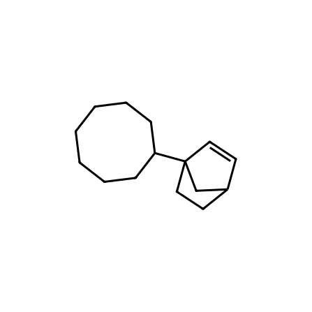 C1=CC2(C3CCCCCCC3)CCC1C2